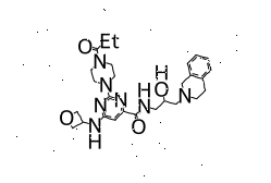 CCC(=O)N1CCN(c2nc(NC3COC3)cc(C(=O)NCC(O)CN3CCc4ccccc4C3)n2)CC1